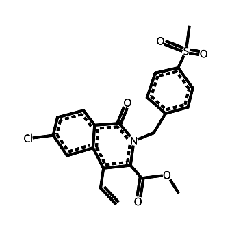 C=Cc1c(C(=O)OC)n(Cc2ccc(S(C)(=O)=O)cc2)c(=O)c2ccc(Cl)cc12